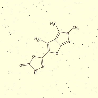 Cc1c(-c2n[nH]c(=O)o2)oc2nn(C)c(C)c12